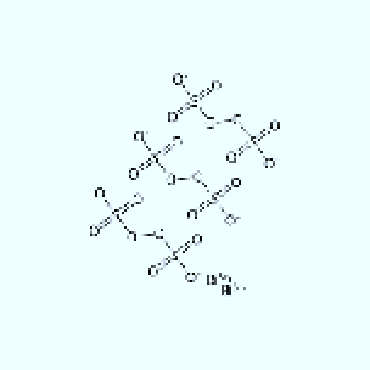 O=S(=O)([O-])OOS(=O)(=O)[O-].O=S(=O)([O-])OOS(=O)(=O)[O-].O=S(=O)([O-])OOS(=O)(=O)[O-].[Bi+3].[Bi+3]